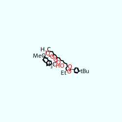 CCC1CC(CC(O)CC2CC(CC3CC(C)O[C@@H](c4c(OC)ccc5ccccc45)O3)O[C@@H](C)O2)O[C@@H](c2ccc(C(C)(C)C)cc2)O1